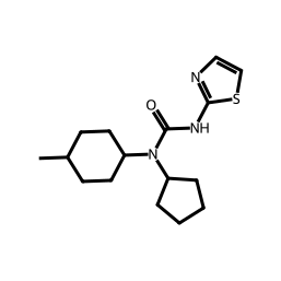 CC1CCC(N(C(=O)Nc2nccs2)C2CCCC2)CC1